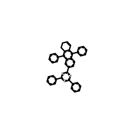 C1=Cc2c(c(-c3ccccc3)c3cc(-c4nc(-c5ccccc5)nc(-c5ccccc5)n4)ccc3c2-c2ccccc2)CC1